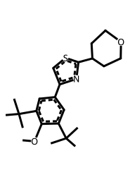 COc1c(C(C)(C)C)cc(-c2csc(C3CCOCC3)n2)cc1C(C)(C)C